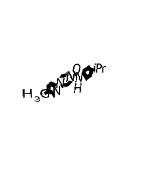 Cc1ccc(N2CCN(C(=O)Nc3ccc(C(C)C)cc3)CC2)nn1